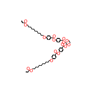 C=CC(=O)OCCCCCCCCCCCOc1ccc(C(=O)Oc2ccc(C(=O)O[C@@H]3OCCO[C@H]3OC(=O)c3ccc(OC(=O)c4ccc(OCCCCCCCCCCCOC(=O)C=C)cc4)cc3)cc2)cc1